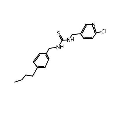 CCCCc1ccc(CNC(=S)NCc2ccc(Cl)nc2)cc1